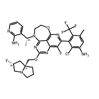 Cc1cc(N)c(Cl)c(-c2nc3c4c(nc(OC[C@@]56CCCN5C[C@H](F)C6)nc4c2F)N([C@H](C)c2cccnc2N)CCO3)c1C(F)(F)F